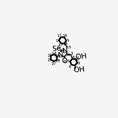 O=C1C(=Cc2ccc(O)cc2O)N(Cc2ccccc2)C(=[Se])N1c1ccccc1